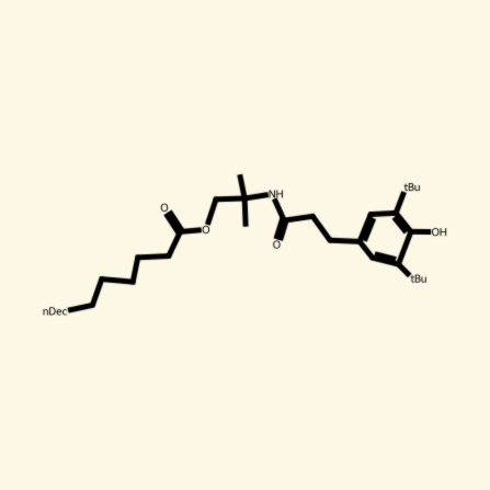 CCCCCCCCCCCCCCCC(=O)OCC(C)(C)NC(=O)CCc1cc(C(C)(C)C)c(O)c(C(C)(C)C)c1